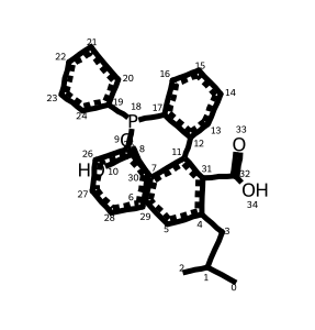 CC(C)Cc1ccc(C(=O)O)c(-c2ccccc2P(c2ccccc2)c2ccccc2)c1C(=O)O